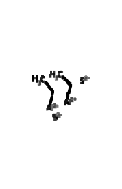 C[CH2][Al+2].C[CH2][Al+2].[S-2].[S-2]